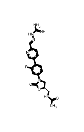 CC(=O)NC[C@H]1CN(c2ccc(-c3ccc(C=NNC(=N)N)nc3)c(F)c2)C(=O)O1